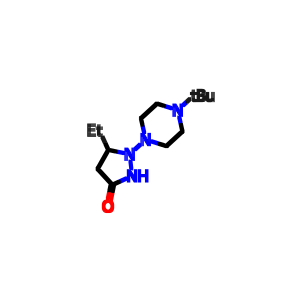 CCC1CC(=O)NN1N1CCN(C(C)(C)C)CC1